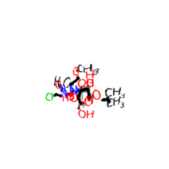 COCC(C)N(C(=O)N(CCCl)N=O)[C@@]1(O)[C@H](O)[C@@H](OCC(C)C)O[C@H](CO)[C@H]1O